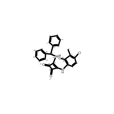 Cc1c(Cl)ccc(Nc2c(NC(c3ccccc3)c3ccccc3)c(=O)c2=O)c1O